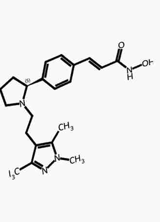 Cc1nn(C)c(C)c1CCN1CCC[C@H]1c1ccc(C=CC(=O)NO)cc1